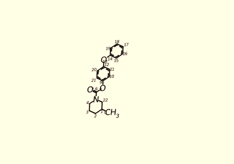 CC1CCCN(C(=O)Oc2ccc(Oc3ccccc3)cc2)C1